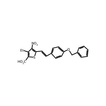 CCc1c(C(=O)O)sc(C=Cc2ccc(OCc3ccccc3)cc2)c1[N+](=O)[O-]